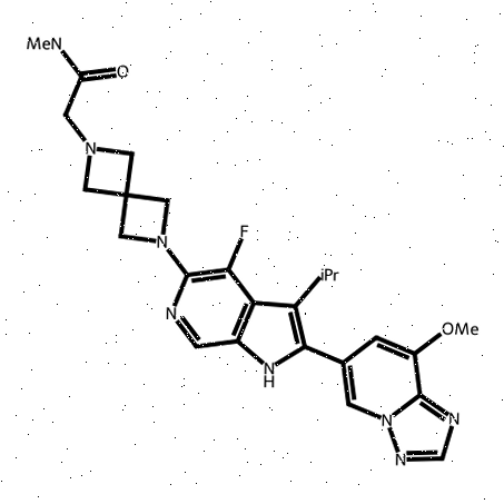 CNC(=O)CN1CC2(C1)CN(c1ncc3[nH]c(-c4cc(OC)c5ncnn5c4)c(C(C)C)c3c1F)C2